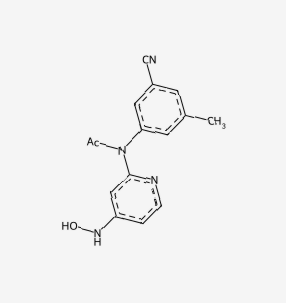 CC(=O)N(c1cc(C)cc(C#N)c1)c1cc(NO)ccn1